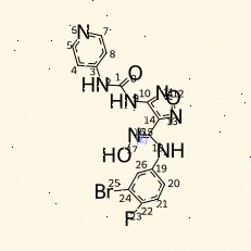 O=C(Nc1ccncc1)Nc1nonc1/C(=N/O)Nc1ccc(F)c(Br)c1